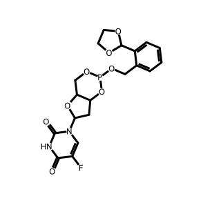 O=c1[nH]c(=O)n(C2CC3OP(OCc4ccccc4C4OCCO4)OCC3O2)cc1F